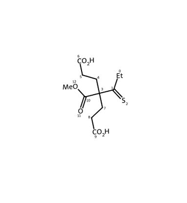 CCC(=S)C(CCC(=O)O)(CCC(=O)O)C(=O)OC